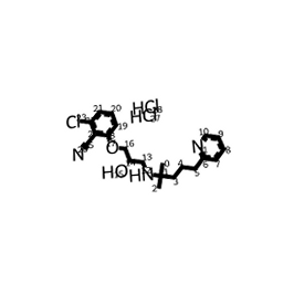 CC(C)(CCCc1ccccn1)NC[C@@H](O)COc1cccc(Cl)c1C#N.Cl.Cl